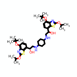 CC(C)Oc1nc2c(OC(C)(C)C)ccc(C(O)CNC3CCC(NC[C@H](O)c4ccc(OC(C)(C)C)c5nc(OC(C)C)sc45)CC3)c2s1